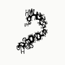 CC(C)Oc1ccc2[nH]nc(-c3cc(N4CCN(CC[C@H]5CCN(CC6CCN(c7ccc8c(c7)C(=O)N(C7CCC(=O)NC7=O)C8=O)CC6)C5)CC4)ncn3)c2c1